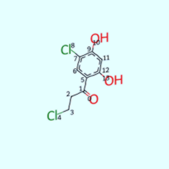 O=C(CCCl)c1cc(Cl)c(O)cc1O